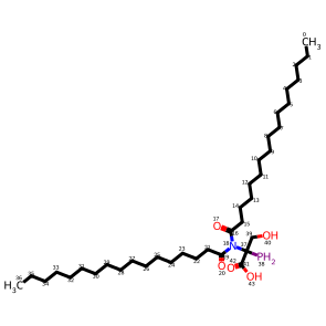 CCCCCCCCCCCCCCCCC(=O)N(C(=O)CCCCCCCCCCCCCCCC)C(P)(CO)C(=O)O